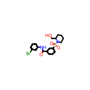 O=C(Nc1cccc(Br)c1)c1cccc(S(=O)(=O)N2CCCCC2CO)c1